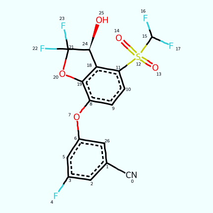 N#Cc1cc(F)cc(Oc2ccc(S(=O)(=O)C(F)F)c3c2OC(F)(F)[C@H]3O)c1